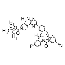 CCN(C(=O)c1cc(C#N)cnc1NCc1ccc(-c2cnc(N)c(C3=CCN(C(=O)OC(C)(C)C)CC3)n2)cc1)c1ccc(F)cc1